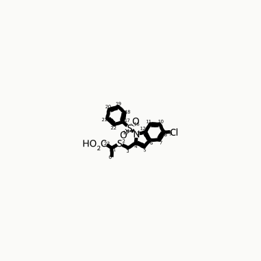 CC(SCc1cc2cc(Cl)ccc2n1S(=O)(=O)c1ccccc1)C(=O)O